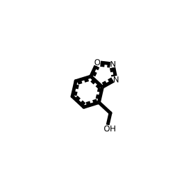 OCc1cccc2onnc12